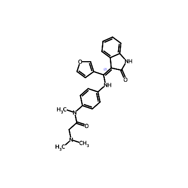 CN(C)CC(=O)N(C)c1ccc(N/C(=C2\C(=O)Nc3ccccc32)c2ccoc2)cc1